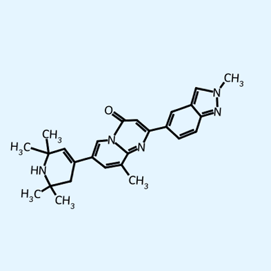 Cc1cc(C2=CC(C)(C)NC(C)(C)C2)cn2c(=O)cc(-c3ccc4nn(C)cc4c3)nc12